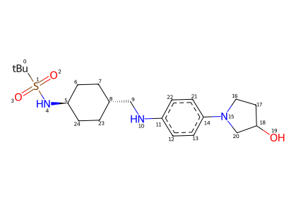 CC(C)(C)S(=O)(=O)N[C@H]1CC[C@H](CNc2ccc(N3CCC(O)C3)cc2)CC1